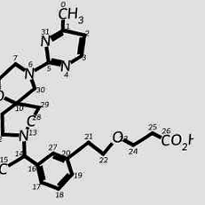 Cc1ccnc(N2CCOC3(CCN(C(C)c4cccc(CCOCCC(=O)O)c4)CC3)C2)n1